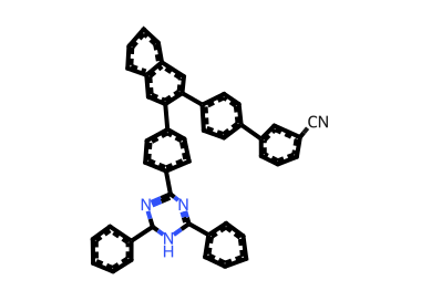 N#Cc1cccc(-c2ccc(-c3cc4ccccc4cc3-c3ccc(C4=NC(c5ccccc5)NC(c5ccccc5)=N4)cc3)cc2)c1